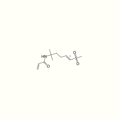 C=CC(=O)NC(C)(C)CC/C=C/S(C)(=O)=O